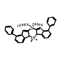 CCCCCC[Si]1(CCCCCC)C2=Cc3c(-c4ccccc4)cccc3[CH]2[Hf]([CH3])([CH3])[CH]2C1=Cc1c(-c3ccccc3)cccc12